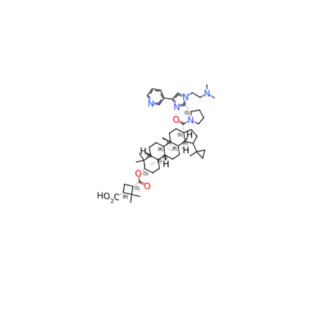 CN(C)CCn1cc(-c2cccnc2)nc1[C@@H]1CCCN1C(=O)[C@]12CCC(C3(C)CC3)[C@@H]1[C@H]1CC[C@@H]3[C@@]4(C)CC[C@H](OC(=O)[C@H]5C[C@@H](C(=O)O)C5(C)C)C(C)(C)[C@@H]4CC[C@@]3(C)[C@]1(C)CC2